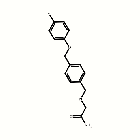 NC(=O)CNCc1ccc(COc2ccc(F)cc2)cc1